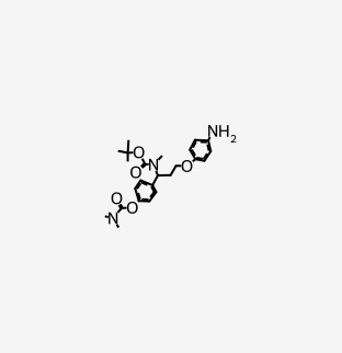 CN(C)C(=O)Oc1ccc(C(CCOc2ccc(N)cc2)N(C)C(=O)OC(C)(C)C)cc1